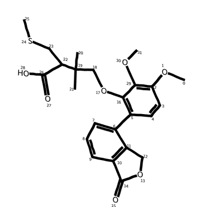 COc1ccc(-c2cccc3c2COC3=O)c(OCC(C)(C)C(CSC)C(=O)O)c1OC